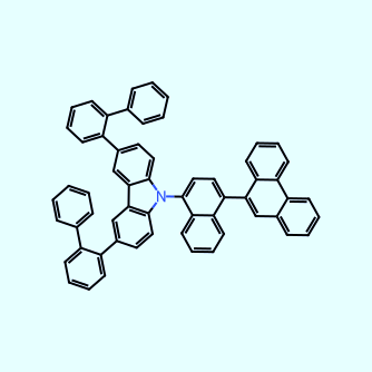 c1ccc(-c2ccccc2-c2ccc3c(c2)c2cc(-c4ccccc4-c4ccccc4)ccc2n3-c2ccc(-c3cc4ccccc4c4ccccc34)c3ccccc23)cc1